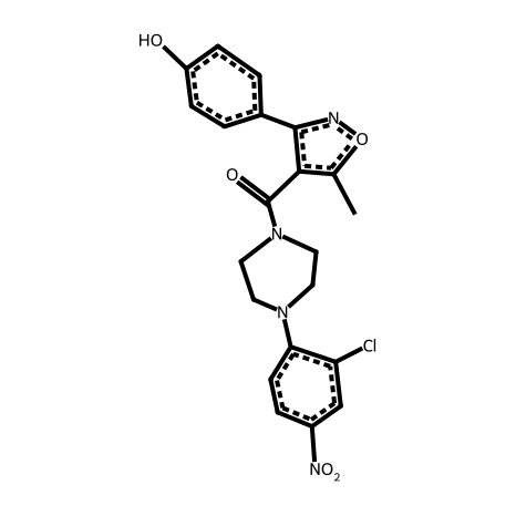 Cc1onc(-c2ccc(O)cc2)c1C(=O)N1CCN(c2ccc([N+](=O)[O-])cc2Cl)CC1